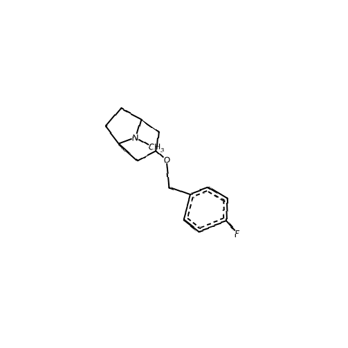 CN1C2CCC1CC(OCc1ccc(F)cc1)C2